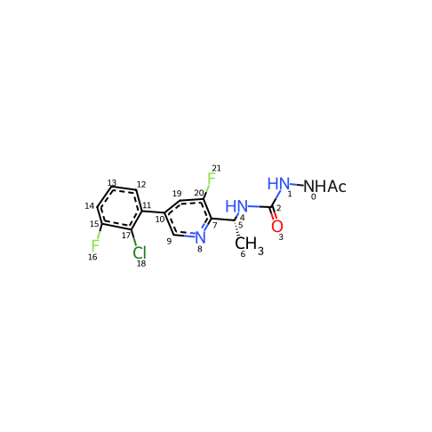 CC(=O)NNC(=O)N[C@H](C)c1ncc(-c2cccc(F)c2Cl)cc1F